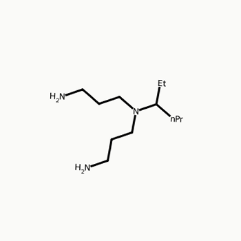 CCCC(CC)N(CCCN)CCCN